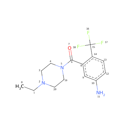 CCN1CCN(C(=O)c2cc(N)ccc2C(F)(F)F)CC1